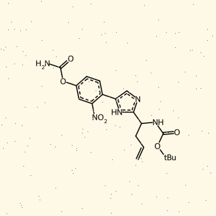 C=CCC(NC(=O)OC(C)(C)C)c1ncc(-c2ccc(OC(N)=O)cc2[N+](=O)[O-])[nH]1